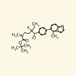 CCC(F)(CCN(C)C(=O)OC(C)(C)C)C(Cl)c1ccc(-c2ccc3nccn3c2C)cc1